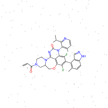 C=CC(=O)N1CCN2c3nc(=O)n(-c4c(C)ccnc4C(C)C)c4c(F)c(-c5c(C)ccc6[nH]ncc56)c(F)c(c34)OCC2C1